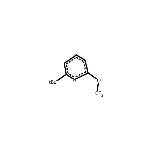 CC(C)(C)c1cccc(OC(F)(F)F)n1